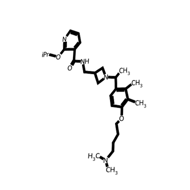 Cc1c(OCCCCN(C)C)ccc(C(C)N2CC(CNC(=O)c3cccnc3OC(C)C)C2)c1C